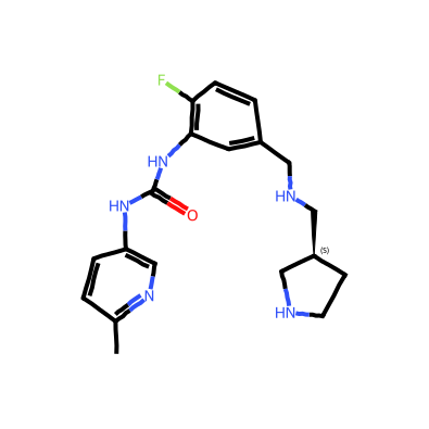 Cc1ccc(NC(=O)Nc2cc(CNC[C@H]3CCNC3)ccc2F)cn1